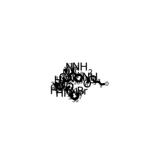 CCCCOC(=O)Nc1ccc2c(c1)c1c(N)ncnc1n2CC(=O)N1[C@@H]2C[C@@H]2C[C@H]1C(=O)Nc1cccc(Br)n1